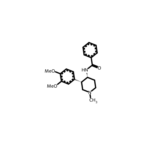 COc1ccc([C@H]2CN(C)CC[C@H]2NC(=O)c2ccccc2)cc1OC